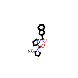 N#C[C@@H]1CCCN1C(=O)[C@@H]1CCCN1C(=O)C1=Cc2ccccc2C1